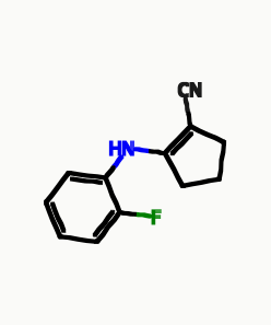 N#CC1=C(Nc2ccccc2F)CCC1